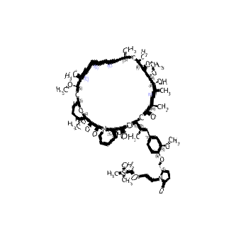 CO[C@H]1C[C@@H]2CC[C@@H](C)[C@@](O)(O2)C(=O)C(=O)N2CCCC[C@H]2C(=O)O[C@H]([C@H](C)C[C@@H]2CC[C@@H](OC[C@@H]3CCC(=O)N3CCOC[Si](C)(C)C)[C@H](OC)C2)CC(=O)[C@H](C)/C=C(\C)[C@@H](O)[C@@H](OC)C(=O)[C@H](C)C[C@H](C)/C=C/C=C/C=C/1C